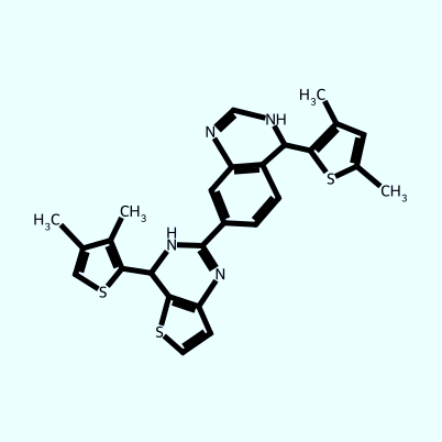 Cc1cc(C)c(C2NC=Nc3cc(C4=Nc5ccsc5C(c5scc(C)c5C)N4)ccc32)s1